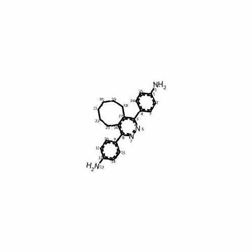 Nc1ccc(-c2nnc(-c3ccc(N)cc3)c3c2CCCCCC3)cc1